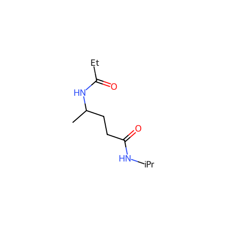 CCC(=O)NC(C)CCC(=O)NC(C)C